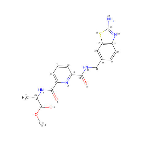 COC(=O)[C@H](C)NC(=O)c1cccc(C(=O)NCc2ccc3nc(N)sc3c2)n1